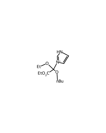 CCCCOC(OCC)(C(=O)OCC)[n+]1cc[nH]c1